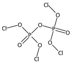 O=P(OCl)(OCl)OP(=O)(OCl)OCl